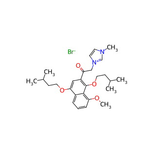 COc1cccc2c(OCCC(C)C)cc(C(=O)C[n+]3ccn(C)c3)c(OCCC(C)C)c12.[Br-]